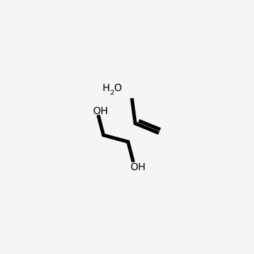 C=CC.O.OCCO